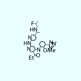 CCC(=O)c1cnc(Nc2ccc(C(C)NCC(C)F)cn2)cc1N(C)c1cccc(-c2ncn(C)n2)c1OC